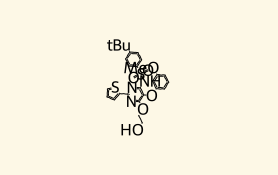 COc1cccc(Oc2c(NS(=O)(=O)c3ccc(C(C)(C)C)cc3)nc(-c3cccs3)nc2OCCO)c1